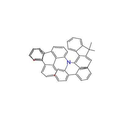 CC1(C)c2ccccc2-c2c(N(c3ccccc3-c3ccccc3)c3cccc(-c4ccccc4)c3-c3ccccc3-c3ccccc3)cccc21